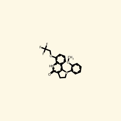 COc1ccccc1N1CCc2c1c1cccc(OCC(F)(F)F)c1[nH]c2=O